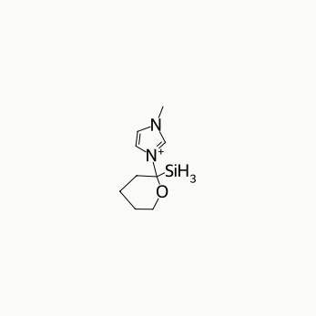 Cn1cc[n+](C2([SiH3])CCCCO2)c1